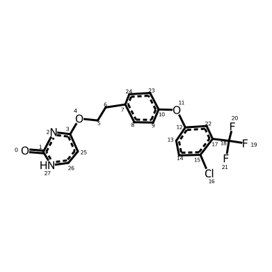 O=c1nc(OCCc2ccc(Oc3ccc(Cl)c(C(F)(F)F)c3)cc2)cc[nH]1